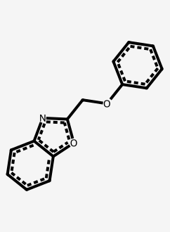 c1ccc(OCc2nc3ccccc3o2)cc1